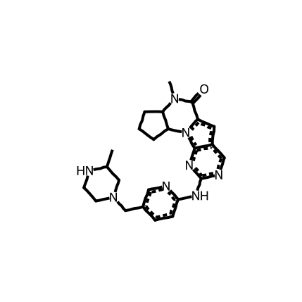 CC1CN(Cc2ccc(Nc3ncc4cc5n(c4n3)C3CCCC3N(C)C5=O)nc2)CCN1